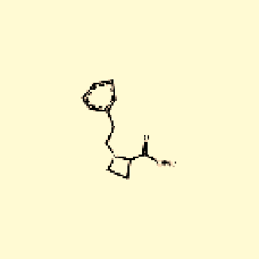 COC(=O)C1CCN1CCc1ccccc1